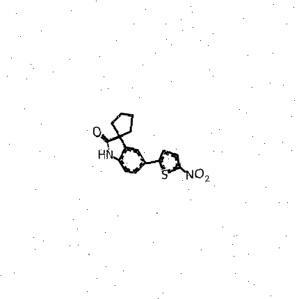 O=C1Nc2ccc(-c3ccc([N+](=O)[O-])s3)cc2C12CCCC2